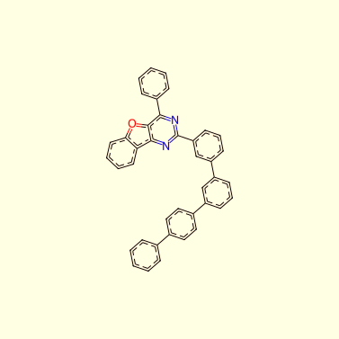 c1ccc(-c2ccc(-c3cccc(-c4cccc(-c5nc(-c6ccccc6)c6oc7ccccc7c6n5)c4)c3)cc2)cc1